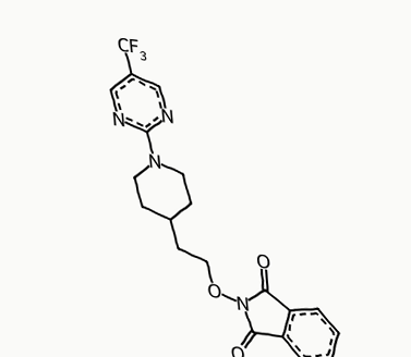 O=C1c2ccccc2C(=O)N1OCCC1CCN(c2ncc(C(F)(F)F)cn2)CC1